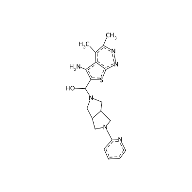 Cc1nnc2sc(C(O)N3CC4CN(c5ccccn5)CC4C3)c(N)c2c1C